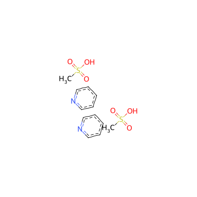 CS(=O)(=O)O.CS(=O)(=O)O.c1ccncc1.c1ccncc1